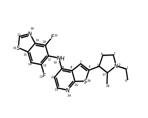 CCN1CCC(c2cc3c(Nc4c(F)cc5scnc5c4F)ccnc3s2)C1C